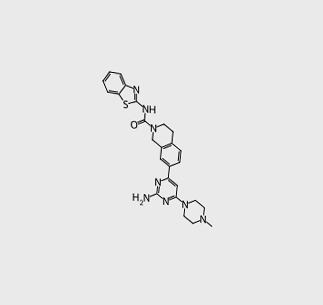 CN1CCN(c2cc(-c3ccc4c(c3)CN(C(=O)Nc3nc5ccccc5s3)CC4)nc(N)n2)CC1